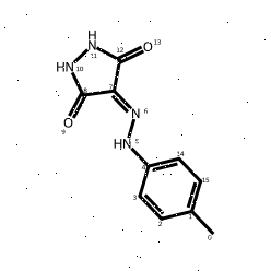 Cc1ccc(NN=C2C(=O)NNC2=O)cc1